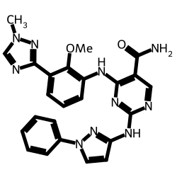 COc1c(Nc2nc(Nc3ccn(-c4ccccc4)n3)ncc2C(N)=O)cccc1-c1ncn(C)n1